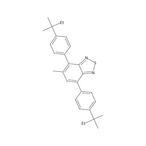 CCC(C)(C)c1ccc(-c2cc(C)c(-c3ccc(C(C)(C)CC)cc3)c3nsnc23)cc1